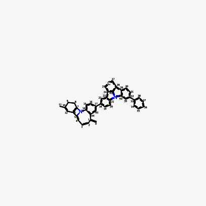 C=C1/C=C\C=C2\C3=C(CCC(C)=C3)N2c2ccc(-c3ccc4c(c3)c3cccc5c6ccc(-c7ccccc7)cc6n4c35)cc21